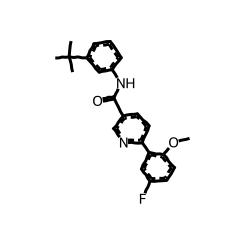 COc1ccc(F)cc1-c1ccc(C(=O)Nc2cccc(C(C)(C)C)c2)cn1